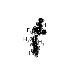 CC1CN(CC[C@H](CSc2ccccc2)Nc2ccc(S(=O)(=O)NC(=O)c3ccccc3)cc2S(=O)(=O)C(F)(F)F)CC(C)N1Cc1ccc2c(c1F)CN(C1CCC(=O)NC1=O)C2=O